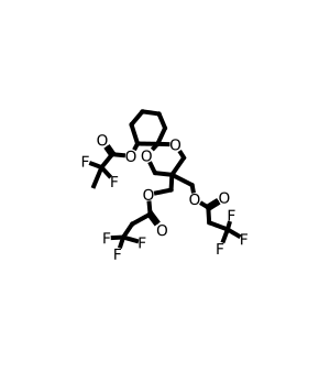 CC(F)(F)C(=O)OC1CCCCC12OCC(COC(=O)CC(F)(F)F)(COC(=O)CC(F)(F)F)CO2